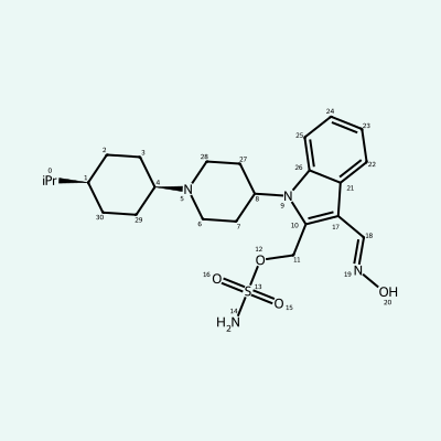 CC(C)[C@H]1CC[C@@H](N2CCC(n3c(COS(N)(=O)=O)c(C=NO)c4ccccc43)CC2)CC1